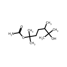 CC(CCC(C)(C)OC(N)=O)C(C)(C)O